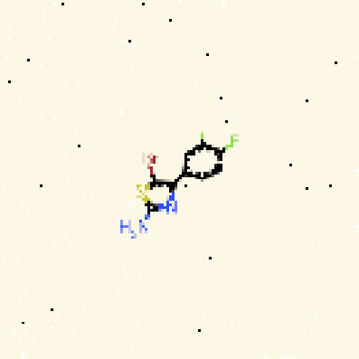 Nc1nc(-c2ccc(F)c(F)c2)c(Br)s1